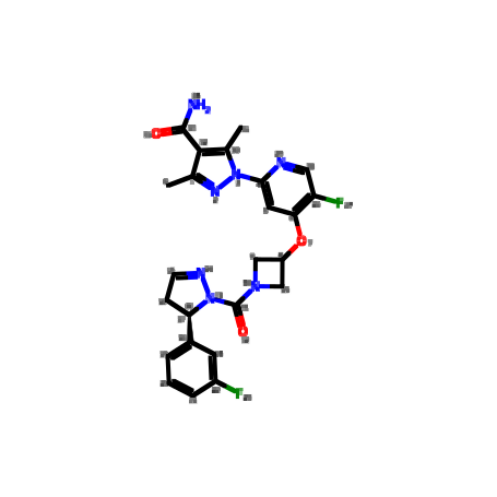 Cc1nn(-c2cc(OC3CN(C(=O)N4N=CC[C@@H]4c4cccc(F)c4)C3)c(F)cn2)c(C)c1C(N)=O